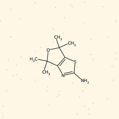 CC1(C)OC(C)(C)c2sc(N)nc21